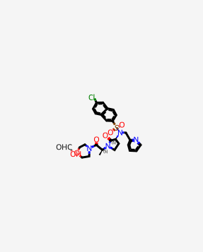 C[C@@H](C(=O)N1CCOCC1)N1CC[C@H](N(Cc2ccccn2)S(=O)(=O)c2ccc3cc(Cl)ccc3c2)C1=O.O=CO